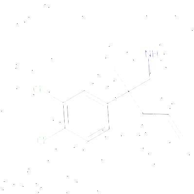 C=CCC(C)(CN)c1ccc(Cl)c(Cl)c1